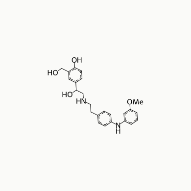 COc1cccc(Nc2ccc(CCNCC(O)c3ccc(O)c(CO)c3)cc2)c1